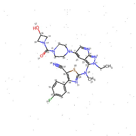 CCn1nc2ncc(N3CCN(C(=O)N4CC(O)C4)CC3)cc2c1N(C)c1nc(-c2ccc(F)cc2)c(C#N)s1